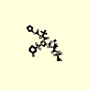 C=C[C@@H]1C[C@]1(NC(=O)[C@@H]1CN(S(=O)(=O)c2cccc(Br)c2)CN1C(=O)[C@@H](NC(=O)OC1CCCC1)C(C)(C)C)C(=O)NS(=O)(=O)C1CC1